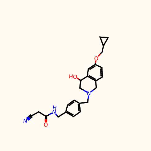 N#CCC(=O)NCc1ccc(CN2Cc3ccc(OCC4CC4)cc3C(O)C2)cc1